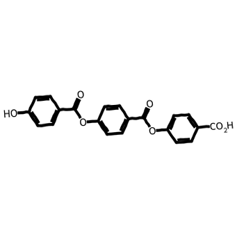 O=C(O)c1ccc(OC(=O)c2ccc(OC(=O)c3ccc(O)cc3)cc2)cc1